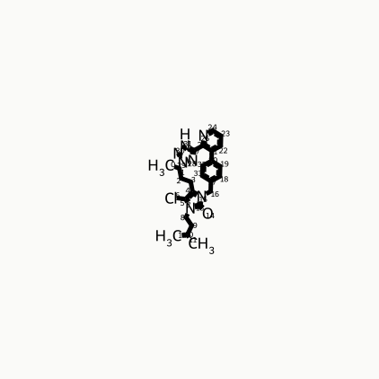 CCCCc1c(Cl)n(CCC(C)C)c(=O)n1Cc1ccc(-c2cccnc2-c2nnn[nH]2)cc1